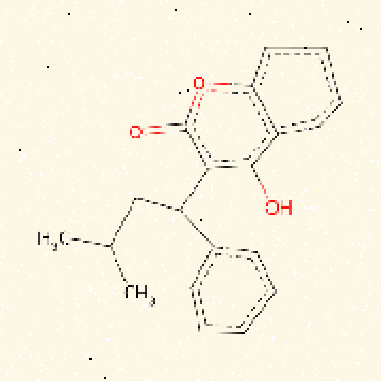 CC(C)CC(c1ccccc1)c1c(O)c2ccccc2oc1=O